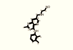 Cc1nc(Nc2cccc(C)c2C)c2ncc(CNCCN=O)cc2n1